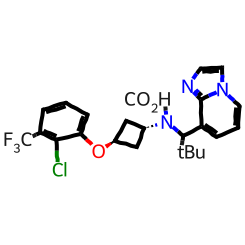 CC(C)(C)C(c1cccn2ccnc12)N(C(=O)O)[C@H]1C[C@H](Oc2cccc(C(F)(F)F)c2Cl)C1